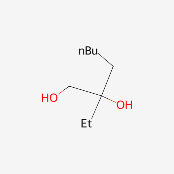 CCCCCC(O)(CC)CO